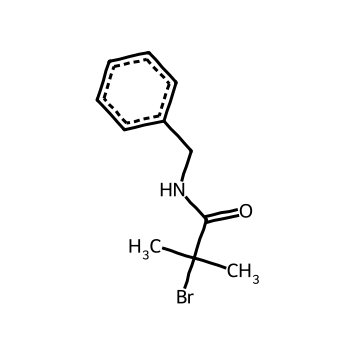 CC(C)(Br)C(=O)NCc1ccccc1